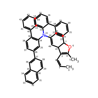 C/C=C\C1=C(C)OC2C=CC(N(c3ccccc3-c3ccccc3)c3cc(-c4ccc5ccccc5c4)ccc3-c3ccccc3)=CC12